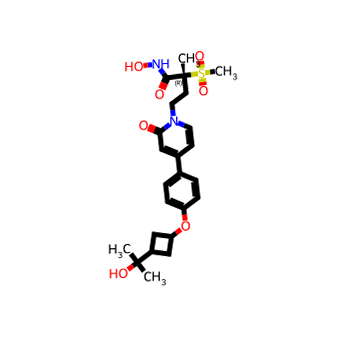 CC(C)(O)C1CC(Oc2ccc(-c3ccn(CC[C@](C)(C(=O)NO)S(C)(=O)=O)c(=O)c3)cc2)C1